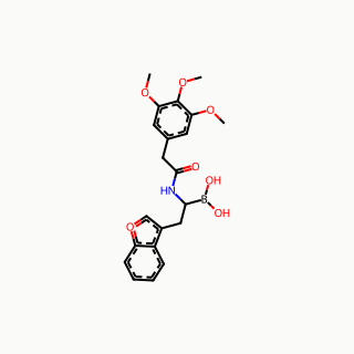 COc1cc(CC(=O)NC(Cc2coc3ccccc23)B(O)O)cc(OC)c1OC